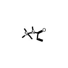 C=CC(=O)N(C)[Si](C)(C)C